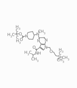 CC(C)NC(=O)c1cn(COCC[Si](C)(C)C)c2ncc(N(C)C3CCN(C(=O)OC(C)(C)C)CC3)nc12